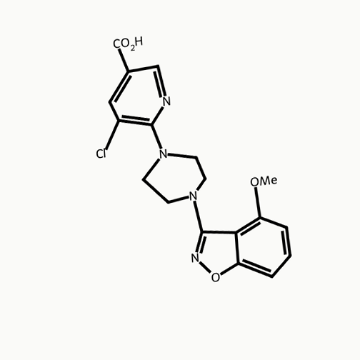 COc1cccc2onc(N3CCN(c4ncc(C(=O)O)cc4Cl)CC3)c12